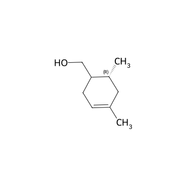 CC1=CCC(CO)[C@H](C)C1